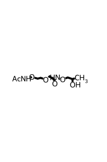 CC(=O)NOCCOCC(=O)NOCC(C)O